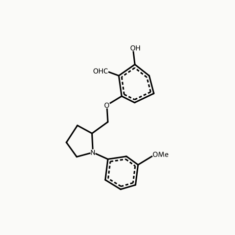 COc1cccc(N2CCCC2COc2cccc(O)c2C=O)c1